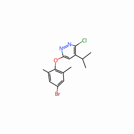 Cc1cc(Br)cc(C)c1Oc1cc(C(C)C)c(Cl)nn1